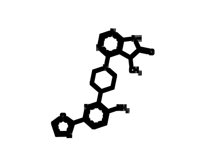 CC1C(=O)Nc2ncnc(N3CCC(c4nc(-c5ncco5)ccc4N)CC3)c21